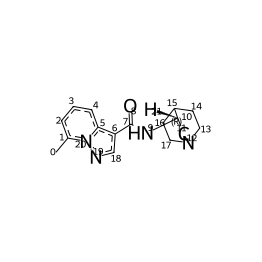 Cc1cccc2c(C(=O)N[C@H]3CN4CCC3CC4)cnn12